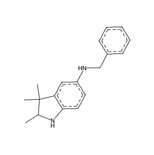 CC1Nc2ccc(NCc3ccccc3)cc2C1(C)C